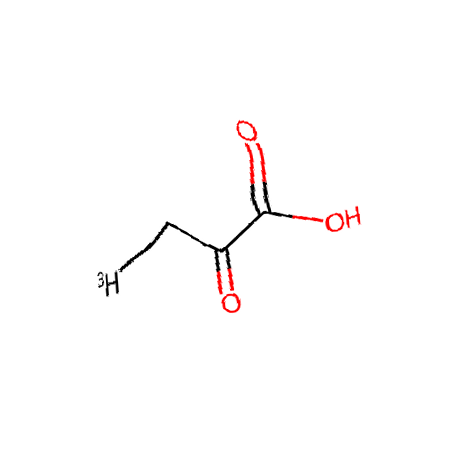 [3H]CC(=O)C(=O)O